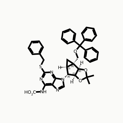 CC1(C)O[C@H]2[C@H](n3cnc4c(NC(=O)O)nc(SCc5ccccc5)nc43)[C@H]3C[C@@]3(COC(c3ccccc3)(c3ccccc3)c3ccccc3)[C@H]2O1